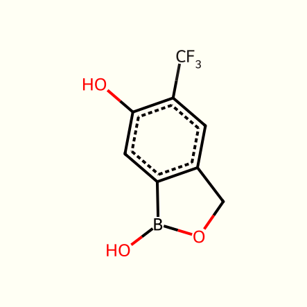 OB1OCc2cc(C(F)(F)F)c(O)cc21